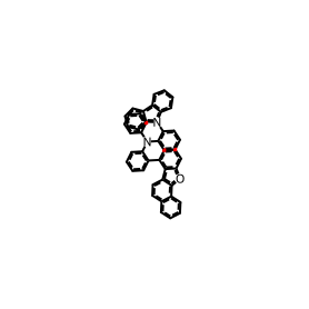 c1ccc(N(c2ccccc2-c2cccc3oc4c5ccccc5ccc4c23)c2ccccc2-n2c3ccccc3c3ccccc32)cc1